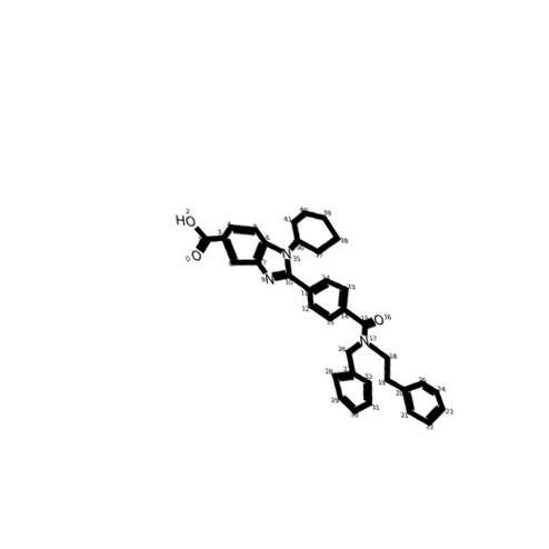 O=C(O)c1ccc2c(c1)nc(-c1ccc(C(=O)N(CCc3ccccc3)Cc3ccccc3)cc1)n2C1CCCCC1